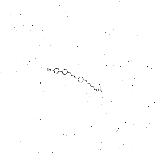 CCCCCCC[C@H]1CC[C@H](/C=C/CCc2ccc(-c3ccc(C#N)cc3)cc2)CC1